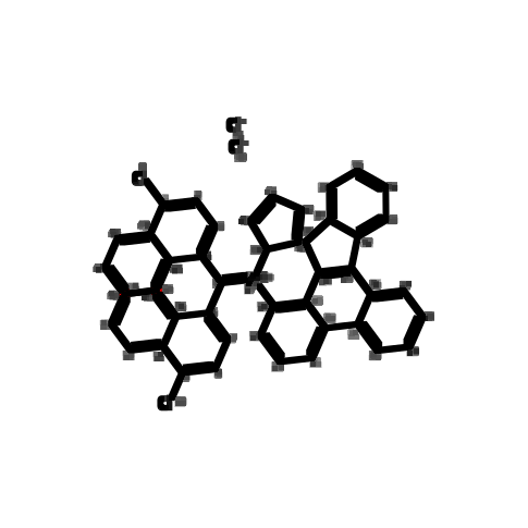 Clc1ccc([C](c2ccc(Cl)c3ccccc23)=[Zr+2]([c]2cccc3c2c2c(c4ccccc43)-c3ccccc3C2)[CH]2C=CC=C2)c2ccccc12.[Cl-].[Cl-]